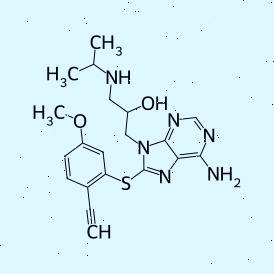 C#Cc1ccc(OC)cc1Sc1nc2c(N)ncnc2n1CC(O)CNC(C)C